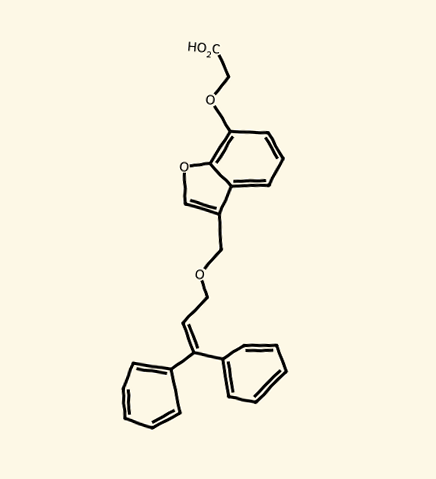 O=C(O)COc1cccc2c(COCC=C(c3ccccc3)c3ccccc3)coc12